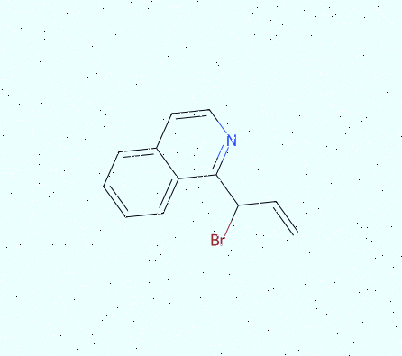 C=CC(Br)c1nccc2ccccc12